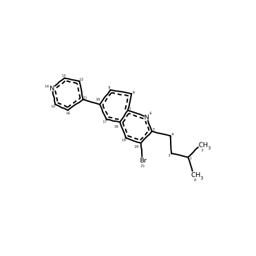 CC(C)CCc1nc2ccc(-c3ccncc3)cc2cc1Br